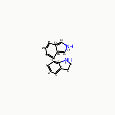 c1ccc2c(c1)CCN2.c1ccc2c[nH]cc2c1